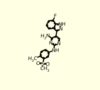 Cc1ccc(Nc2ncc(-c3n[nH]c4c(F)cccc34)c(N)n2)cc1S(C)(=O)=O